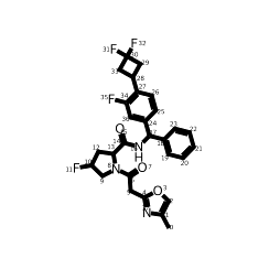 Cc1coc(CC(=O)N2CC(F)CC2C(=O)NC(c2ccccc2)c2ccc(C3CC(F)(F)C3)c(F)c2)n1